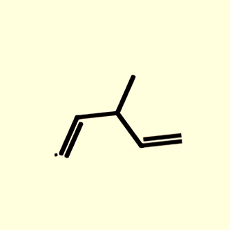 [CH]=CC(C)C=C